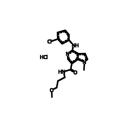 COCCCNC(=O)c1cnc(Nc2cccc(Cl)c2)c2ccn(C)c12.Cl